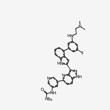 CCCCC(=O)Nc1cncc(-c2ccc3[nH]nc(-c4cc5c(-c6cc(F)cc(NCCN(C)C)c6)cccc5[nH]4)c3n2)c1